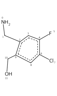 NCc1cc(F)c(Cl)cc1CO